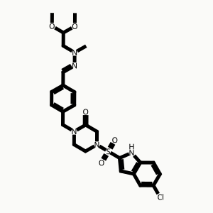 COC(CN(C)N=Cc1ccc(CN2CCN(S(=O)(=O)c3cc4cc(Cl)ccc4[nH]3)CC2=O)cc1)OC